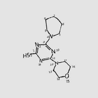 Sc1nc(N2CCCCC2)nc(N2CCOCC2)n1